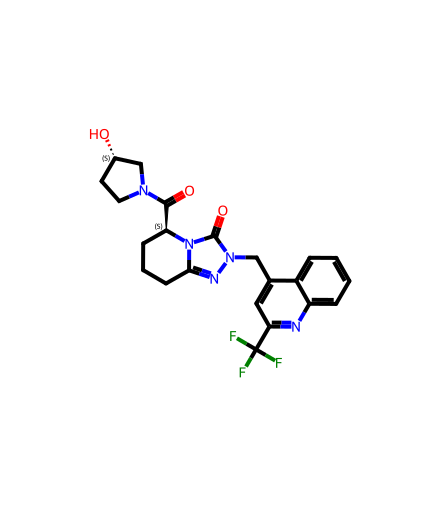 O=C([C@@H]1CCCc2nn(Cc3cc(C(F)(F)F)nc4ccccc34)c(=O)n21)N1CC[C@H](O)C1